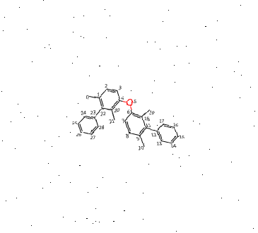 Cc1ccc(Oc2ccc(C)c(-c3ccccc3)c2C)c(C)c1-c1ccccc1